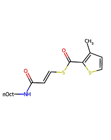 CCCCCCCCNC(=O)C=CSC(=O)c1sccc1C